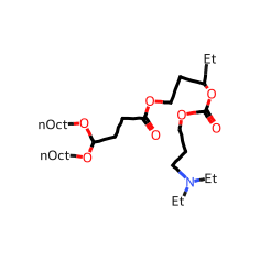 [CH2]CC(CCOC(=O)CCC(OCCCCCCCC)OCCCCCCCC)OC(=O)OCCCN(CC)CC